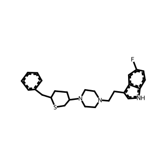 Fc1ccc2[nH]cc(CCN3CCN(C4CCC(Cc5ccccc5)SC4)CC3)c2c1